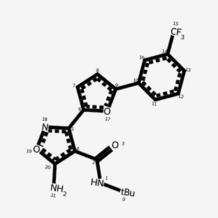 CC(C)(C)NC(=O)c1c(-c2ccc(-c3cccc(C(F)(F)F)c3)o2)noc1N